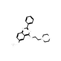 COc1ccc2nc(-c3ccccc3)nc(NCCN3CCOCC3)c2c1